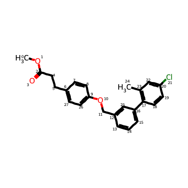 COC(=O)CCc1ccc(OCc2cccc(-c3ccc(Cl)cc3C)c2)cc1